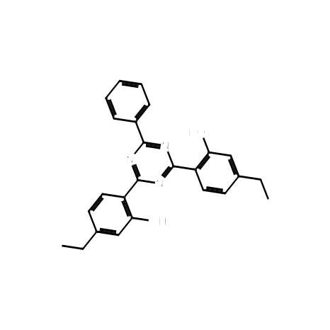 CCc1ccc(-c2nc(-c3ccccc3)nc(-c3ccc(CC)cc3O)n2)c(O)c1